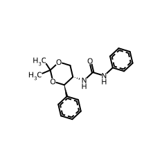 CC1(C)OC[C@H](NC(=O)Nc2ccccc2)[C@@H](c2ccccc2)O1